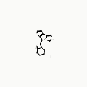 O[C@@H]1CC[C@@H]2C[C@H]([C@H]3c4sccc4-c4cncn43)C2C1